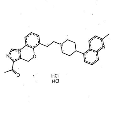 CC(=O)c1ncn2c1COc1c(CCN3CCC(c4cccc5nc(C)ccc45)CC3)cccc1-2.Cl.Cl